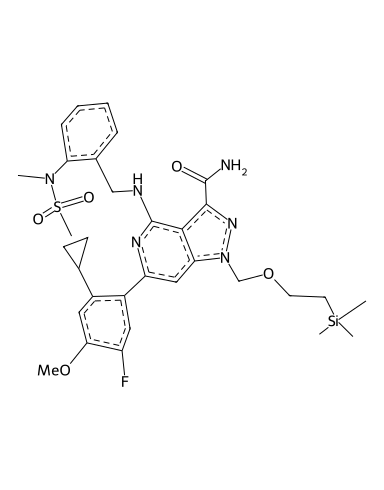 COc1cc(C2CC2)c(-c2cc3c(c(NCc4ccccc4N(C)S(C)(=O)=O)n2)c(C(N)=O)nn3COCC[Si](C)(C)C)cc1F